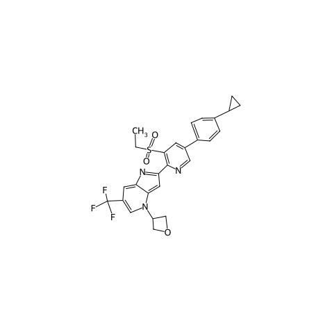 CCS(=O)(=O)c1cc(-c2ccc(C3CC3)cc2)cnc1-c1cc2n(C3COC3)cc(C(F)(F)F)cc-2n1